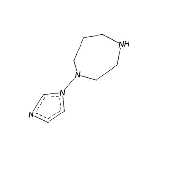 c1cn(N2CCCNCC2)cn1